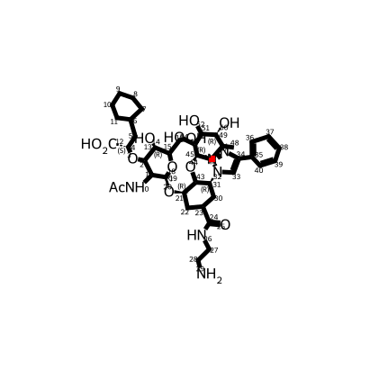 CC(=O)NC1C(O[C@@H](CC2CCCCC2)C(=O)O)[C@@H](O)C(CO)O[C@H]1O[C@@H]1CC(C(=O)NCCN)C[C@@H](n2cc(-c3ccccc3)nn2)C1O[C@@H]1CC(C)[C@@H](O)C(O)C1O